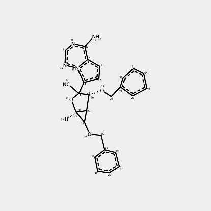 N#CC1(c2ccc3c(N)ncnn23)O[C@@H]2C(OCc3ccccc3)C2[C@H]1OCc1ccccc1